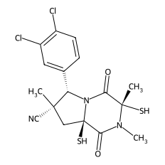 CN1C(=O)[C@]2(S)C[C@](C)(C#N)[C@H](c3ccc(Cl)c(Cl)c3)N2C(=O)[C@]1(C)S